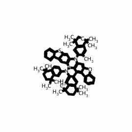 Cc1cc2c(cc1N1c3cc4sc5ccccc5c4cc3B3c4c1cc1oc5ccccc5c1c4-c1cc4c(cc1N3c1ccc3c(c1)C(C)(C)CCC3(C)C)C(C)(C)CCC4(C)C)C(C)(C)CCC2(C)C